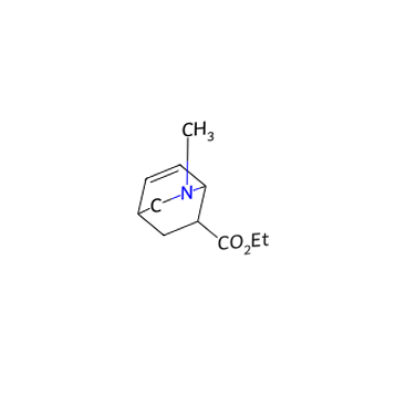 CCOC(=O)C1CC2C=CC1N(C)C2